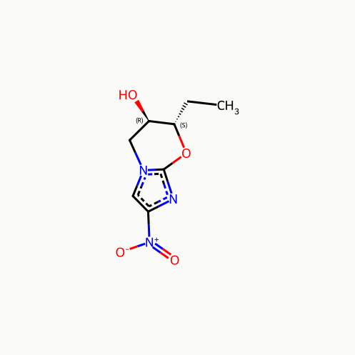 CC[C@@H]1Oc2nc([N+](=O)[O-])cn2C[C@H]1O